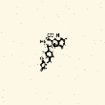 CC1=NN(Cc2ccc(C(=O)N[C@H](Cc3ccccc3Cl)[C@@H](O)C(=O)O)cc2)C(=O)C1